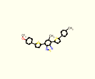 Cc1ccc(-c2ccc(-c3c(C)cc(-c4ccc(-c5ccc(OC(F)(F)F)cc5)s4)c4c3N=S=N4)s2)cc1